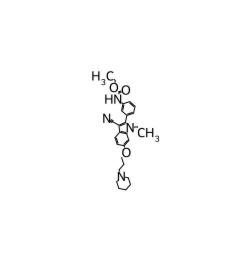 CCOC(=O)Nc1cccc(-c2c(C#N)c3ccc(OCCCN4CCCCC4)cc3n2CC)c1